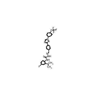 CC(C)c1cc(F)ccc1NC(=S)N/N=C/c1ccc(-c2ncn(-c3ccc(OC(F)(F)F)cc3)n2)cc1